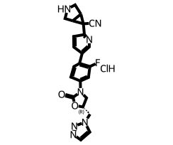 Cl.N#CC1(c2ccc(-c3ccc(N4C[C@H](Cn5ccnn5)OC4=O)cc3F)cn2)C2CNCC21